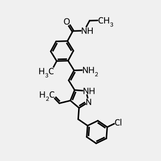 C=Cc1c(Cc2cccc(Cl)c2)n[nH]c1/C=C(\N)c1cc(C(=O)NCC)ccc1C